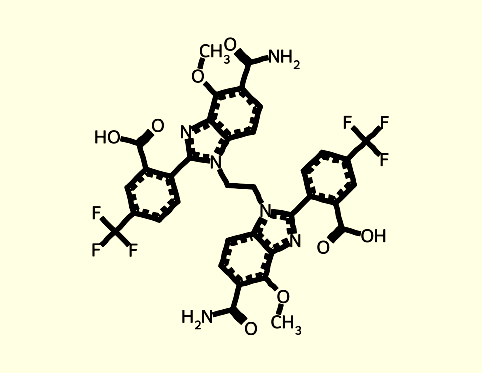 COc1c(C(N)=O)ccc2c1nc(-c1ccc(C(F)(F)F)cc1C(=O)O)n2CCn1c(-c2ccc(C(F)(F)F)cc2C(=O)O)nc2c(OC)c(C(N)=O)ccc21